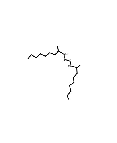 CCCCCCCC(C)NSSNC(C)CCCCCCC